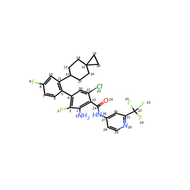 Nc1c(F)c(-c2ccc(F)cc2C2CCC3(CC2)CC3)cc(Cl)c1C(=O)Nc1ccnc(C(F)(F)F)c1